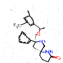 Cc1cc([C@@H](C)OC[C@@]2(c3ccccc3)CC[C@]3(CCCC(=O)N3)CN2)cc(C(F)(F)F)c1